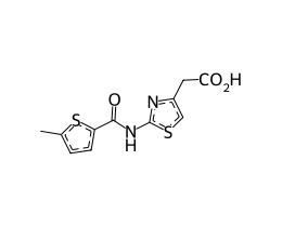 Cc1ccc(C(=O)Nc2nc(CC(=O)O)cs2)s1